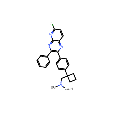 CC(C)(C)N(CC1(c2ccc(-c3nc4ccc(Cl)nc4nc3-c3ccccc3)cc2)CCC1)C(=O)O